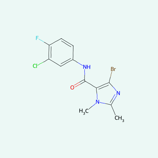 Cc1nc(Br)c(C(=O)Nc2ccc(F)c(Cl)c2)n1C